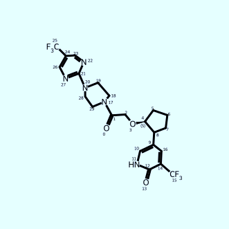 O=C(CO[C@H]1CCCC1c1c[nH]c(=O)c(C(F)(F)F)c1)N1CCN(c2ncc(C(F)(F)F)cn2)CC1